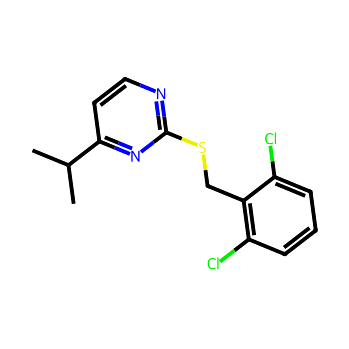 CC(C)c1ccnc(SCc2c(Cl)cccc2Cl)n1